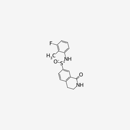 Cc1c(F)cccc1N[S+]([O-])c1ccc2c(c1)C(=O)NCC2